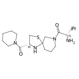 CC(C)[C@H](N)C(=O)N1CCCC2(C1)N[C@H](C(=O)N1CCCCC1)CS2